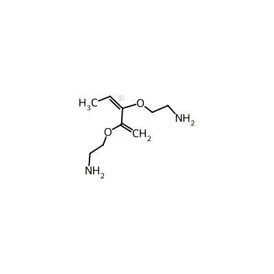 C=C(OCCN)/C(=C\C)OCCN